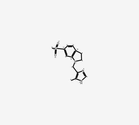 Cc1[nH]cnc1CN1CCc2ccc(S(C)(=O)=O)cc21